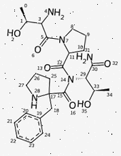 C[C@H](O)C(N)C(=O)N1CCCC1C(=O)N(C(=O)C1(Cc2ccccc2)CCCN1)[C@H](C(N)=O)[C@@H](C)O